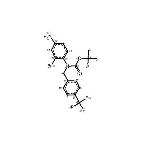 CC(C)(C)OC(=O)N(Cc1ccc(C(F)(F)F)cc1)c1ccc(N)cc1Br